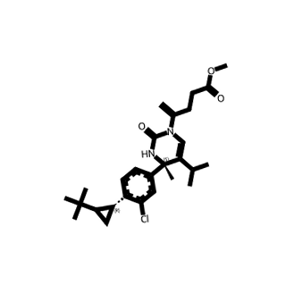 C=C(CCC(=O)OC)N1C=C(C(C)C)[C@](C)(c2ccc([C@@H]3CC3C(C)(C)C)c(Cl)c2)NC1=O